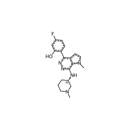 CN1CCC[C@@H](Nc2nnc(-c3ccc(F)cc3O)c3ccn(C)c23)C1